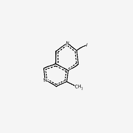 Cc1cncc2cnc(I)cc12